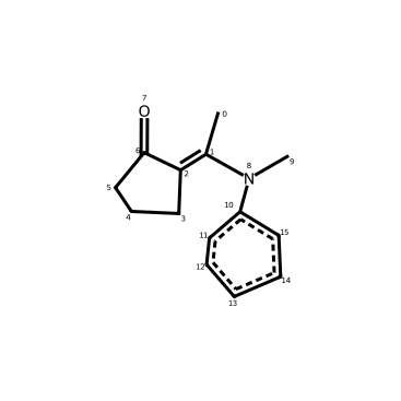 CC(=C1CCCC1=O)N(C)c1ccccc1